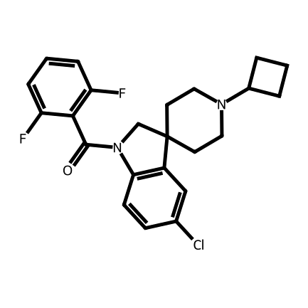 O=C(c1c(F)cccc1F)N1CC2(CCN(C3CCC3)CC2)c2cc(Cl)ccc21